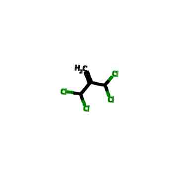 C=C(C(Cl)Cl)C(Cl)Cl